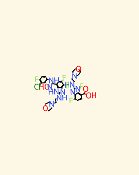 O=C(O)c1ccc(F)c2nc(NCCN3CCOCC3)n(F)c12.ON=C(Nc1ccc(F)c(Cl)c1)c1cc(F)c(F)c2nc(NCCN3CCOCC3)[nH]c12